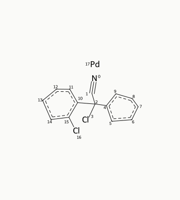 N#CC(Cl)(c1ccccc1)c1ccccc1Cl.[Pd]